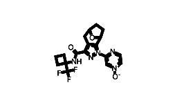 O=C(NC1(C(F)(F)F)CCC1)c1nn(-c2c[n+]([O-])ccn2)c2c1CC1CCC2O1